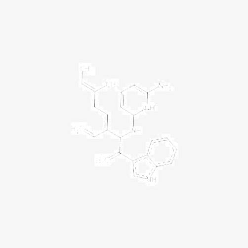 C=C/C(=C\C/C(C)=C/C)C(NC1C=CC=C(N)N1)C(=C)c1c[nH]c2ccccc12